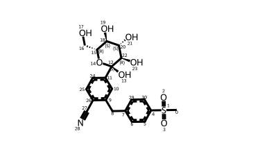 CS(=O)(=O)c1ccc(Cc2cc([C@]3(O)O[C@H](CO)[C@@H](O)[C@H](O)[C@H]3O)ccc2C#N)cc1